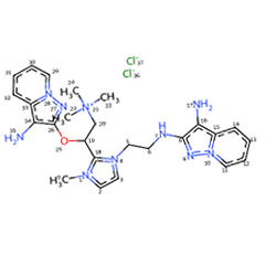 C[n+]1ccn(CCNc2nn3ccccc3c2N)c1C(C[N+](C)(C)C)Oc1nn2ccccc2c1N.[Cl-].[Cl-]